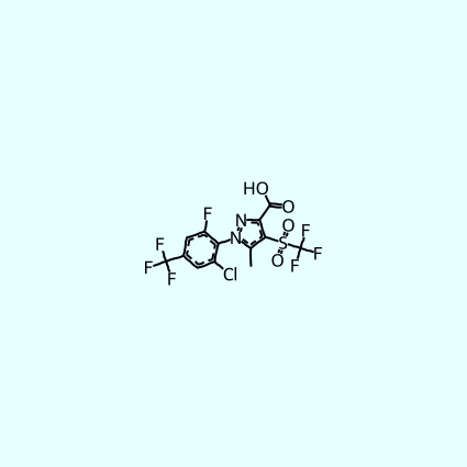 Cc1c(S(=O)(=O)C(F)(F)F)c(C(=O)O)nn1-c1c(F)cc(C(F)(F)F)cc1Cl